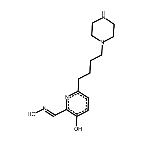 ON=Cc1nc(CCCCN2CCNCC2)ccc1O